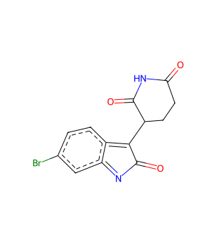 O=C1CCC(C2=c3ccc(Br)cc3=NC2=O)C(=O)N1